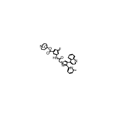 Cc1cccc(-c2nn(CC(=O)Nc3cc(F)cc(C(=O)OC45CCN(CC4)CC5)c3)cc2-c2ccnc3ccccc23)n1